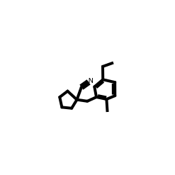 CCc1ccc(C)c(CC2(C#N)CCCC2)c1